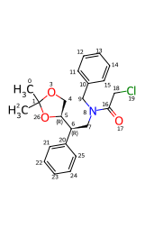 CC1(C)OC[C@@H]([C@@H](CN(Cc2ccccc2)C(=O)CCl)c2ccccc2)O1